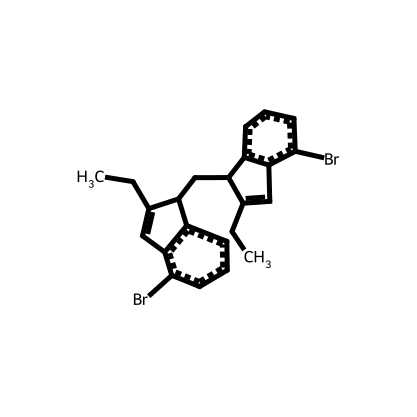 CCC1=Cc2c(Br)cccc2C1CC1C(CC)=Cc2c(Br)cccc21